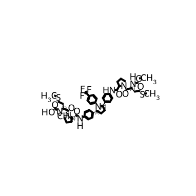 COC(=O)N[C@@H](CCSC)C(=O)N1CCCC1C(=O)Nc1ccc([C@H]2CC[C@H](c3ccc(NC(=O)[C@@H]4CCCN4C(=O)[C@H](CCSC)N(C)C(=O)O)cc3)N2c2ccc(C(F)(F)F)cc2)cc1